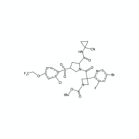 CC(C)(C)OC(=O)N1CC(C(=O)N2CC(S(=O)(=O)c3ccc(OCC(F)(F)F)cc3Cl)CC2C(=O)NC2(C#N)CC2)(c2ncc(Br)cc2F)C1